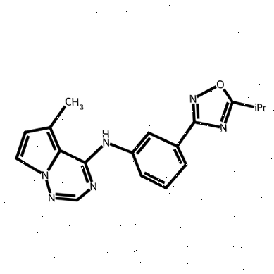 Cc1ccn2ncnc(Nc3cccc(-c4noc(C(C)C)n4)c3)c12